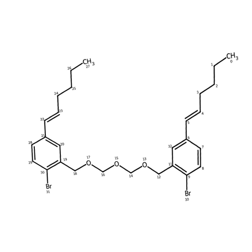 CCCCC=Cc1ccc(Br)c(COCOCOCc2cc(C=CCCCC)ccc2Br)c1